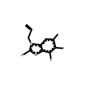 C=CCn1c(F)nc2c(F)c(F)c(C)cc21